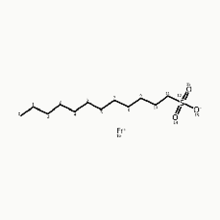 CCCCCCCCCCCCS(=O)(=O)[O-].[Fr+]